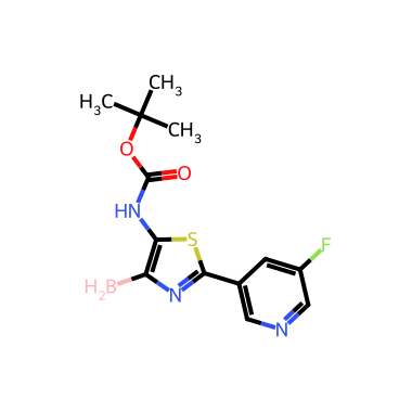 Bc1nc(-c2cncc(F)c2)sc1NC(=O)OC(C)(C)C